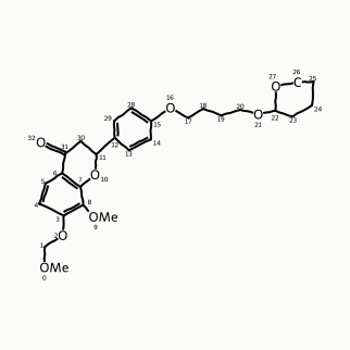 COCOc1ccc2c(c1OC)OC(c1ccc(OCCCCOC3CCCCO3)cc1)CC2=O